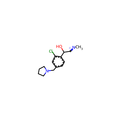 C/N=C/C(O)c1ccc(CN2CCCC2)cc1Cl